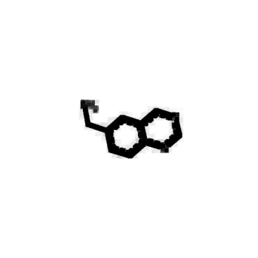 NCc1ccc2ncncc2c1